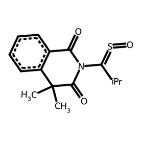 CC(C)C(=S=O)N1C(=O)c2ccccc2C(C)(C)C1=O